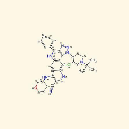 CC(C)(C)N1CCC(n2cc([C@@H](Nc3cc(Cl)c4ncc(C#N)c(N[C@H]5CCCOC5)c4c3)c3ccccc3)nn2)CC1